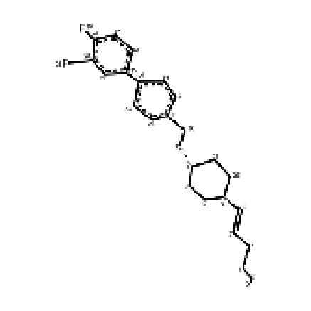 FCCC=C[C@H]1CC[C@H](CCc2ccc(-c3ccc(F)c(F)c3)cc2)CC1